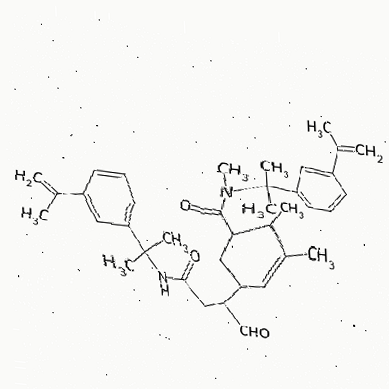 C=C(C)c1cccc(C(C)(C)NC(=O)CC(C=O)C2C=C(C)C(C)C(C(=O)N(C)C(C)(C)c3cccc(C(=C)C)c3)C2)c1